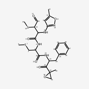 CSCC(NC(=O)C(Nc1cc(C)on1)C(C=O)SC)C(=O)NC(Cc1ccccc1)C(=O)C1(C)CO1